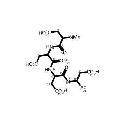 CNC(CC(=O)O)C(=O)NC(CC(=O)O)C(=O)NC(CC(=O)O)C(=O)NC(CC(=O)O)C(C)=O